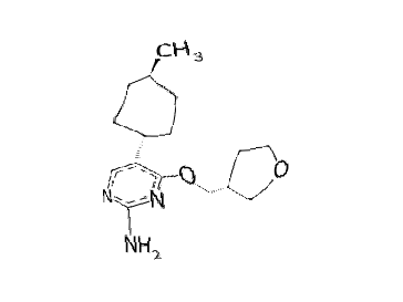 C[C@H]1CC[C@H](c2cnc(N)nc2OC[C@@H]2CCOC2)CC1